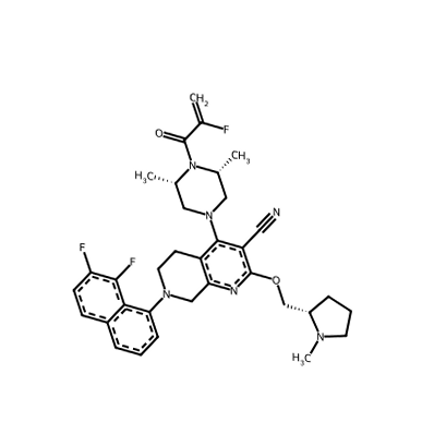 C=C(F)C(=O)N1[C@H](C)CN(c2c(C#N)c(OC[C@@H]3CCCN3C)nc3c2CCN(c2cccc4ccc(F)c(F)c24)C3)C[C@@H]1C